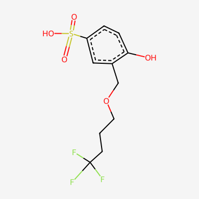 O=S(=O)(O)c1ccc(O)c(COCCCC(F)(F)F)c1